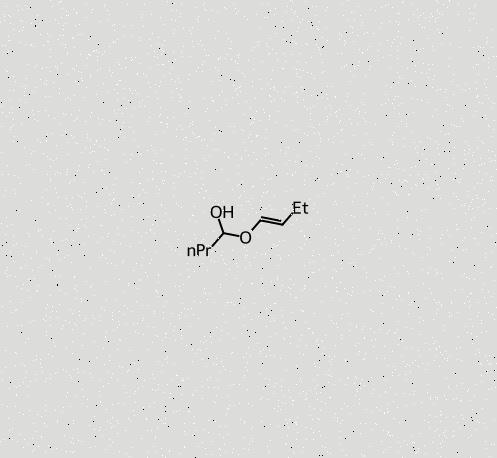 CCC=COC(O)CCC